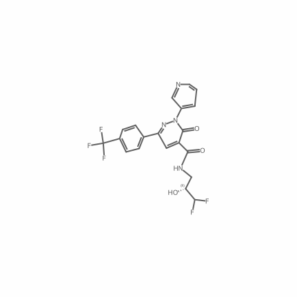 O=C(NC[C@@H](O)C(F)F)c1cc(-c2ccc(C(F)(F)F)cc2)nn(-c2cccnc2)c1=O